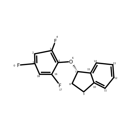 Fc1cc(F)c(O[C@H]2CCc3ccccc32)c(F)c1